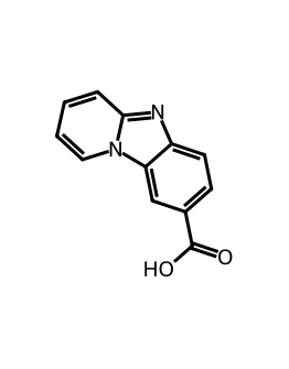 O=C(O)c1ccc2nc3ccccn3c2c1